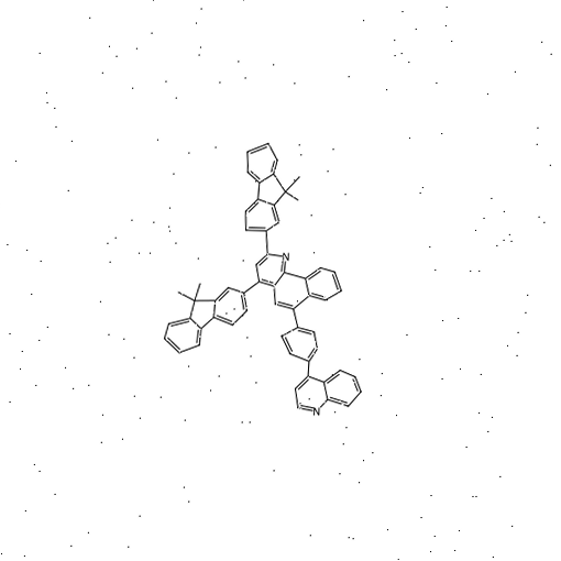 CC1(C)c2ccccc2-c2ccc(-c3cc(-c4ccc5c(c4)C(C)(C)c4ccccc4-5)c4cc(-c5ccc(-c6ccnc7ccccc67)cc5)c5ccccc5c4n3)cc21